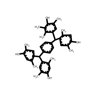 Cc1cc(C(c2ccc(C(c3cc(C)c(O)cc3C)c3cc(C)c(O)c(C)c3C)cc2)c2cc(C)c(O)cc2C)c(C)cc1O